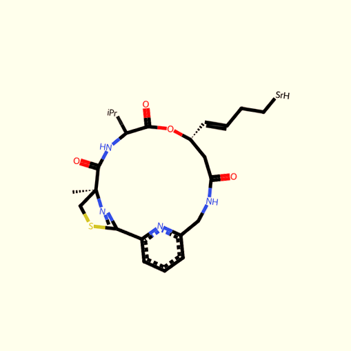 CC(C)C1NC(=O)[C@]2(C)CSC(=N2)c2cccc(n2)CNC(=O)C[C@@H](/C=C/C[CH2][SrH])OC1=O